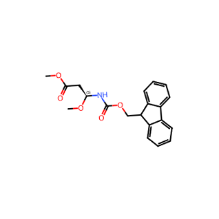 COC(=O)C[C@@H](NC(=O)OCC1c2ccccc2-c2ccccc21)OC